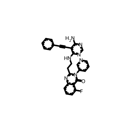 Nc1ncnc(NCCc2nc3cccc(F)c3c(=O)n2-c2cccnc2)c1C#Cc1ccccc1